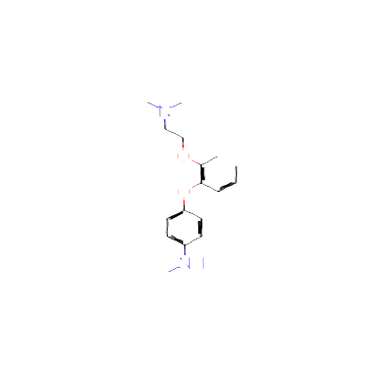 C/C=C\C(Oc1ccc(NC)cc1)=C(/C)OCCN(C)C